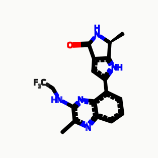 Cc1nc2cccc(-c3cc4c([nH]3)[C@H](C)NC4=O)c2nc1NCC(F)(F)F